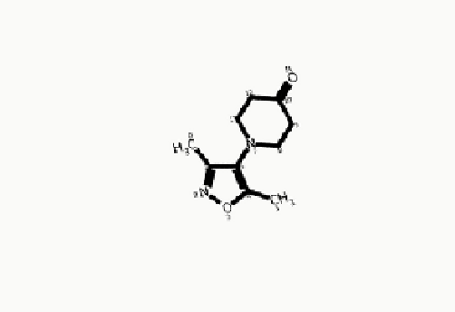 Cc1noc(C)c1N1CCC(=O)CC1